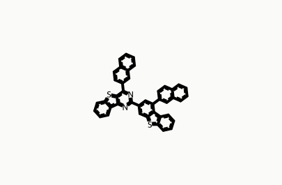 c1ccc2cc(-c3nc(-c4cc(-c5ccc6ccccc6c5)c5c(c4)sc4ccccc45)nc4c3sc3ccccc34)ccc2c1